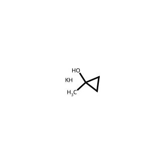 CC1(O)CC1.[KH]